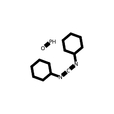 C(=NC1CCCCC1)=NC1CCCCC1.O=P